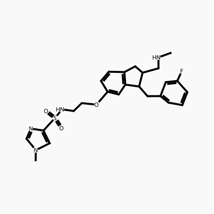 CNCC1Cc2ccc(OCCNS(=O)(=O)c3cn(C)cn3)cc2C1Cc1cccc(F)c1